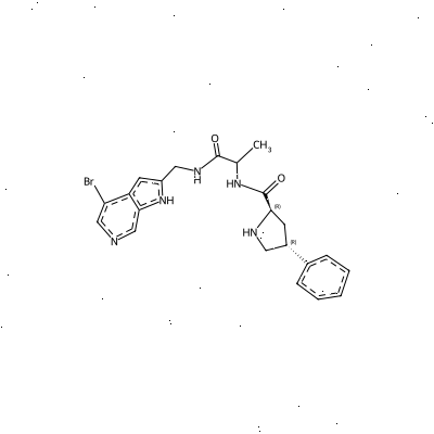 CC(NC(=O)[C@H]1C[C@H](c2ccccc2)CN1)C(=O)NCc1cc2c(Br)cncc2[nH]1